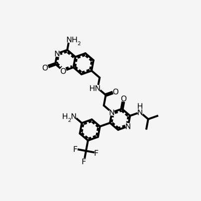 CC(C)Nc1ncc(-c2cc(N)cc(C(F)(F)F)c2)n(CC(=O)NCc2ccc3c(N)nc(=O)oc3c2)c1=O